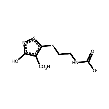 [O]C(=O)NCCSc1snc(O)c1C(=O)O